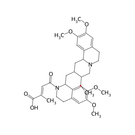 CCC1CN2CCc3cc(OC)c(OC)cc3C2CC1CC1c2cc(OC)c(OC)cc2CCN1C(=O)/C=C(\C)C(=O)O